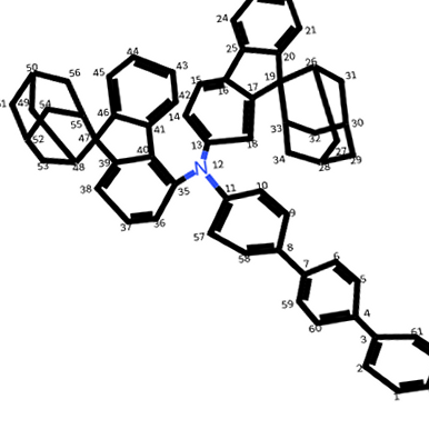 c1ccc(-c2ccc(-c3ccc(N(c4ccc5c(c4)C4(c6ccccc6-5)C5CC6CC(C5)CC4C6)c4cccc5c4-c4ccccc4C54C5CC6CC(C5)CC4C6)cc3)cc2)cc1